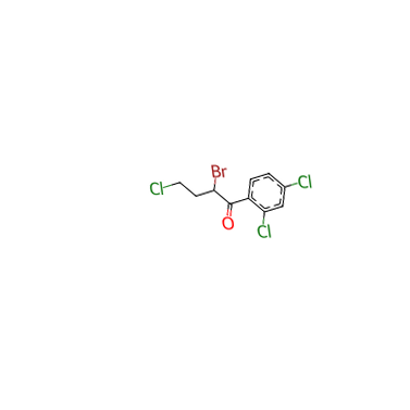 O=C(c1ccc(Cl)cc1Cl)C(Br)CCCl